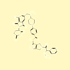 COC(C(=O)N1Cc2[nH]nc(NC(=O)c3ccc(N4CCC(N(C)Cc5cc(F)c6c(c5)C(=O)N(C5CCC(=O)NC5=O)C6=O)CC4)cc3)c2C1)c1ccccc1